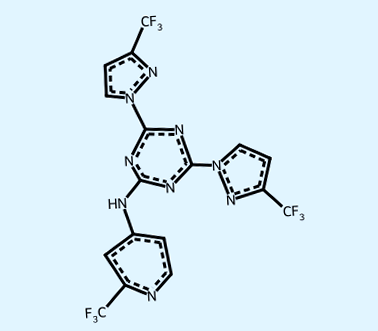 FC(F)(F)c1cc(Nc2nc(-n3ccc(C(F)(F)F)n3)nc(-n3ccc(C(F)(F)F)n3)n2)ccn1